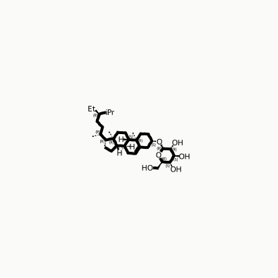 CC[C@H](CC[C@@H](C)[C@H]1CC[C@H]2[C@@H]3CC=C4C[C@@H](O[C@@H]5O[C@H](CO)[C@@H](O)[C@H](O)[C@H]5O)CC[C@]4(C)[C@H]3CC[C@]12C)C(C)C